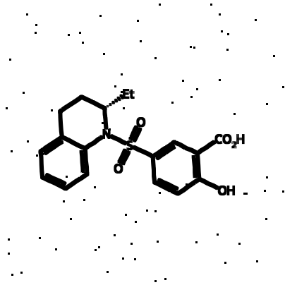 CC[C@H]1CCc2ccccc2N1S(=O)(=O)c1ccc(O)c(C(=O)O)c1